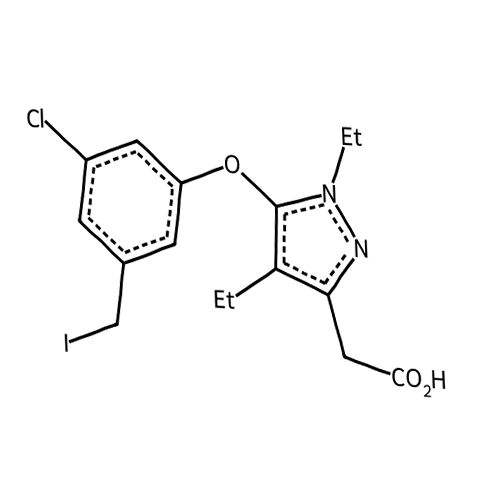 CCc1c(CC(=O)O)nn(CC)c1Oc1cc(Cl)cc(CI)c1